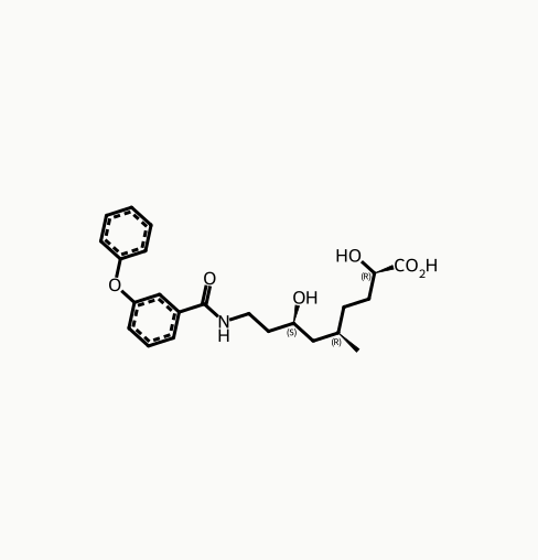 C[C@H](CC[C@@H](O)C(=O)O)C[C@H](O)CCNC(=O)c1cccc(Oc2ccccc2)c1